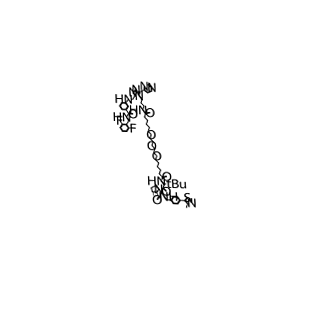 Cc1ncsc1-c1ccc(CNC(=O)[C@@H]2CCCN2C(=O)C(NC(=O)CCCCCOCCOCCOCCCCCC(=O)NCCCn2c(CNc3cccc(C(=O)NCc4c(F)cccc4F)c3)nnc2-c2ccncn2)C(C)(C)C)cc1